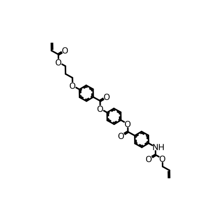 C=CCOC(=O)Nc1ccc(C(=O)Oc2ccc(OC(=O)c3ccc(OCCCOC(=O)C=C)cc3)cc2)cc1